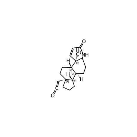 C[C@]12C=CC(=O)NC1CC[C@H]1[C@@H]3CCC[C@@]3(C=C=O)CC[C@@H]12